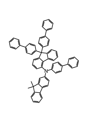 CC1(C)c2ccccc2-c2ccc(N(c3ccc(-c4ccccc4)cc3)c3cccc4c3-c3ccccc3C4(c3ccc(-c4ccccc4)cc3)c3ccc(-c4ccccc4)cc3)cc21